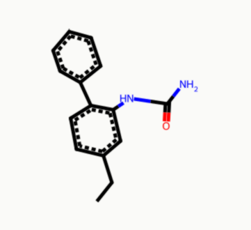 CCc1ccc(-c2cc[c]cc2)c(NC(N)=O)c1